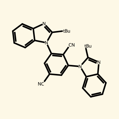 CC(C)(C)c1nc2ccccc2n1-c1cc(C#N)cc(-n2c(C(C)(C)C)nc3ccccc32)c1C#N